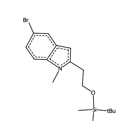 Cn1c(CCO[Si](C)(C)C(C)(C)C)cc2cc(Br)ccc21